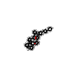 c1ccc(-c2ccc(-c3ccc(N(c4ccc(-c5ccccc5)cc4)c4ccccc4-c4cccc(-c5cccc6c5c5ccccc5n6-c5cccc6sc7ccccc7c56)c4)cc3)cc2)cc1